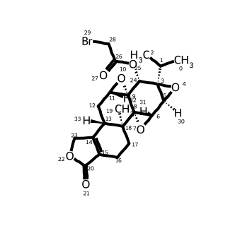 CC(C)[C@]12O[C@H]1[C@@H]1O[C@]13[C@]1(O[C@H]1C[C@H]1C4=C(CC[C@@]13C)C(=O)OC4)[C@@H]2OC(=O)CBr